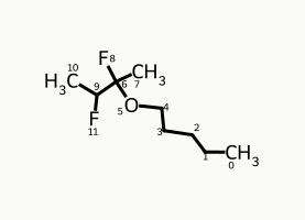 CCCCCOC(C)(F)C(C)F